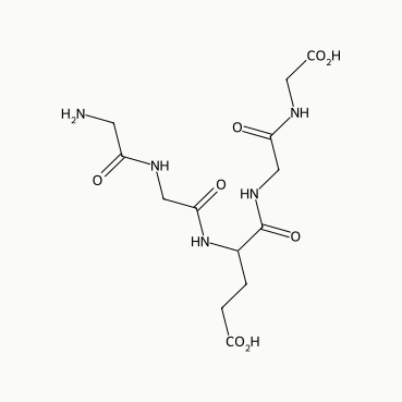 NCC(=O)NCC(=O)NC(CCC(=O)O)C(=O)NCC(=O)NCC(=O)O